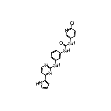 O=C(Nc1ccc(Cl)nc1)Nc1cccc(Nc2nccc(-c3ccc[nH]3)n2)c1